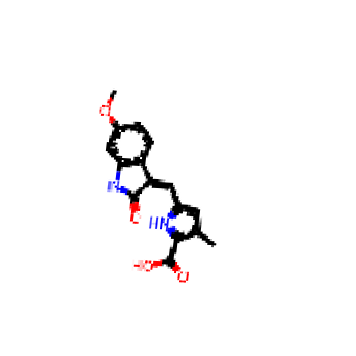 COc1ccc2c(c1)NC(=O)C2=Cc1cc(C)c(C(=O)O)[nH]1